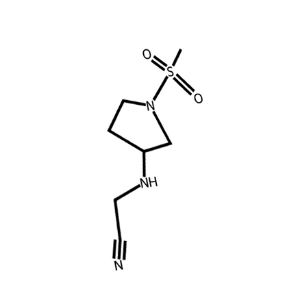 CS(=O)(=O)N1CCC(NCC#N)C1